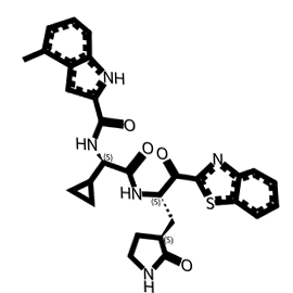 Cc1cccc2[nH]c(C(=O)N[C@H](C(=O)N[C@@H](C[C@@H]3CCNC3=O)C(=O)c3nc4ccccc4s3)C3CC3)cc12